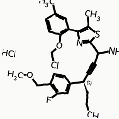 CCC[C@H](C#CC(N)c1nc(-c2cc(C)ccc2OCCl)c(C)s1)c1ccc(COC)c(F)c1.Cl